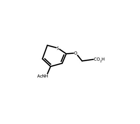 CC(=O)NC1=CCSC(OCC(=O)O)=C1